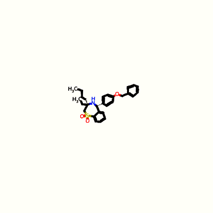 CCCC[C@@]1(CC)CS(=O)(=O)c2ccccc2[C@@H](c2ccc(OCc3ccccc3)cc2)N1